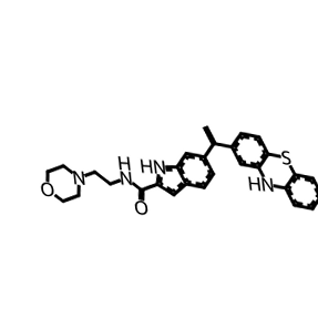 C=C(c1ccc2c(c1)Nc1ccccc1S2)c1ccc2cc(C(=O)NCCN3CCOCC3)[nH]c2c1